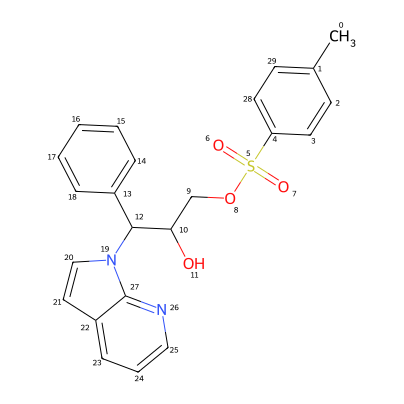 Cc1ccc(S(=O)(=O)OCC(O)C(c2ccccc2)n2ccc3cccnc32)cc1